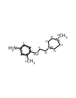 Cc1cc(N)ccc1OCCN1CCN(C)CC1